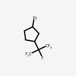 [CH2]CC1C[CH]C(C(F)(C(F)(F)F)C(F)(F)F)C1